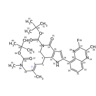 C/C(=C\CC1CN(C(=O)OC(C)(C)C)C(=O)c2cc(-c3cccc4nc(C)c(F)nc34)[nH]c21)CN(C)C(=O)OC(C)(C)C